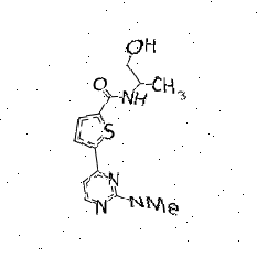 CNc1nccc(-c2ccc(C(=O)NC(C)CO)s2)n1